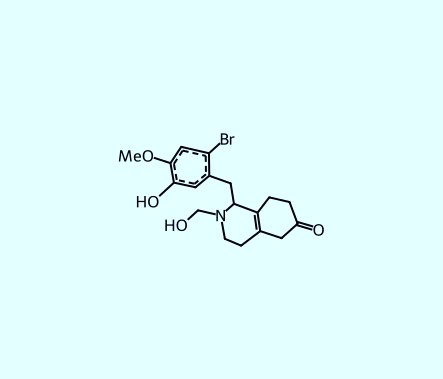 COc1cc(Br)c(CC2C3=C(CCN2CO)CC(=O)CC3)cc1O